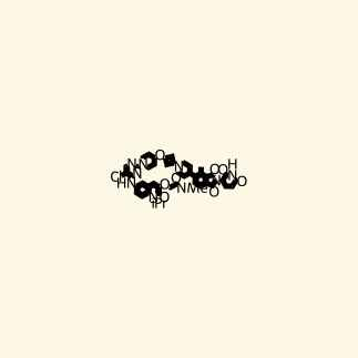 CNC(=O)COc1cc2cc(Nc3nc(N4CCC(OC5CC(N6CCC(c7ccc8c(c7C)C(=O)N([C@@H]7CCC(=O)NC7=O)C8=O)CC6)C5)CC4)ncc3Cl)ccc2n(C(C)C)c1=O